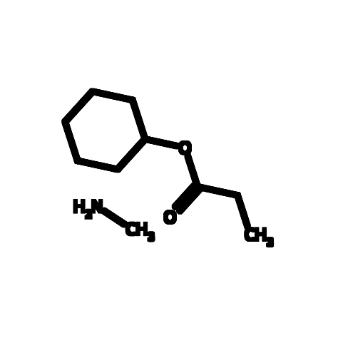 CCC(=O)OC1CCCCC1.CN